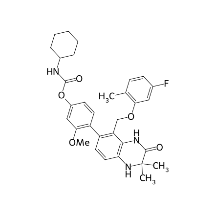 COc1cc(OC(=O)NC2CCCCC2)ccc1-c1ccc2c(c1COc1cc(F)ccc1C)NC(=O)C(C)(C)N2